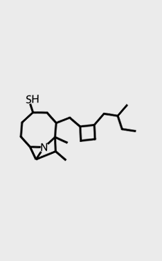 CCC(C)CC1CCC1CC1CC(S)CCC2C3C(C)C1(C)N23